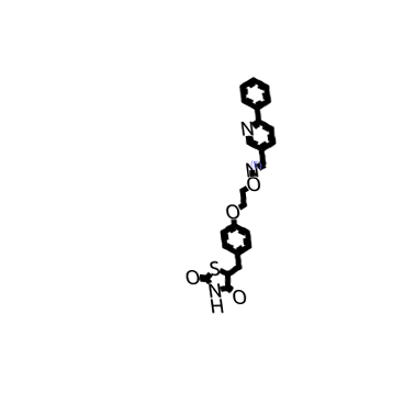 O=C1NC(=O)C(Cc2ccc(OCCO/N=C/c3ccc(-c4ccccc4)nc3)cc2)S1